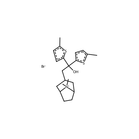 Cc1ccc(C(O)(CC2CC3CCC(C2)[N+]3(C)C)c2ccc(C)s2)s1.[Br-]